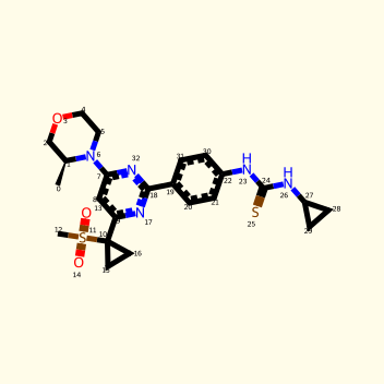 C[C@H]1COCCN1c1cc(C2(S(C)(=O)=O)CC2)nc(-c2ccc(NC(=S)NC3CC3)cc2)n1